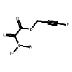 CC(C)N(C(=O)C(=O)OCC#CF)C(C)C